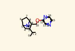 CC(C)C1CC2CCC(C1COc1cnccn1)N2C